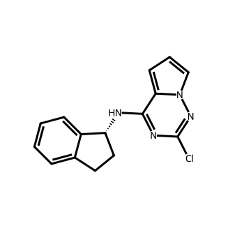 Clc1nc(N[C@@H]2CCc3ccccc32)c2cccn2n1